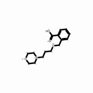 O=C(O)c1ccccc1COCCCN1CCOCC1